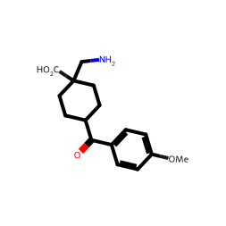 COc1ccc(C(=O)C2CCC(CN)(C(=O)O)CC2)cc1